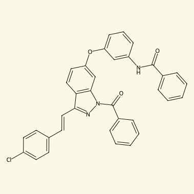 O=C(Nc1cccc(Oc2ccc3c(C=Cc4ccc(Cl)cc4)nn(C(=O)c4ccccc4)c3c2)c1)c1ccccc1